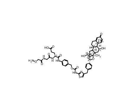 C[C@]12C=CC(=O)C=C1CC[C@@H]1[C@@H]2[C@@H](O)C[C@@]2(C)[C@H]1C[C@H]1O[C@@H](c3ccc(Cc4csc(NC(=O)OCc5ccc(NC(=O)[C@H](CCC(=O)O)NC(=O)CNC(=O)CON)cc5)n4)cc3)O[C@]12C(=O)CO